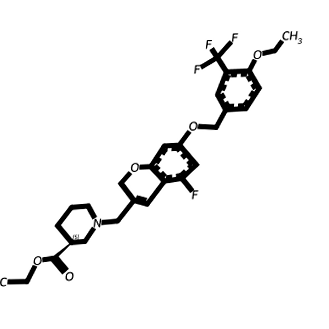 CCOC(=O)[C@H]1CCCN(CC2=Cc3c(F)cc(OCc4ccc(OCC)c(C(F)(F)F)c4)cc3OC2)C1